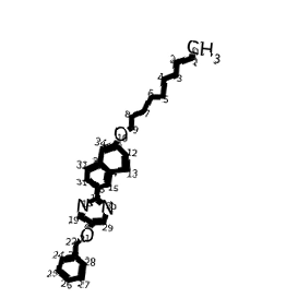 CCCCCCCCCCOc1ccc2cc(-c3ncc(OCc4ccccc4)cn3)ccc2c1